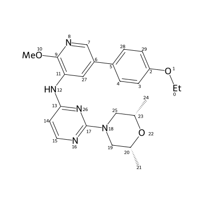 CCOc1ccc(-c2cnc(OC)c(Nc3ccnc(N4C[C@@H](C)O[C@@H](C)C4)n3)c2)cc1